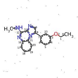 CCOc1cccc(-c2cnc3c(NC)nc4ccccc4n23)c1